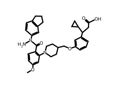 COc1ccc(C(=O)N(N)c2ccc3c(c2)CCC3)c(N2CCC(COc3cccc(C(CC(=O)O)C4CC4)c3)CC2)c1